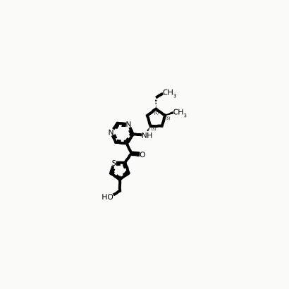 CC[C@H]1C[C@@H](Nc2ncncc2C(=O)c2cc(CO)cs2)C[C@@H]1C